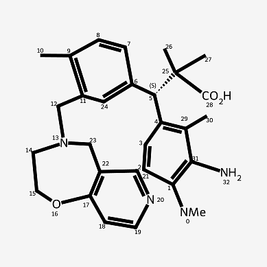 CNc1ccc([C@H](c2ccc(C)c(CN3CCOc4ccncc4C3)c2)C(C)(C)C(=O)O)c(C)c1N